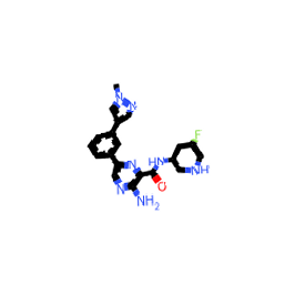 Cn1cc(-c2cccc(-c3cnc(N)c(C(=O)NC4CNCC(F)C4)n3)c2)cn1